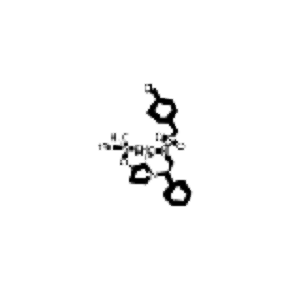 CN(C[C@@H](c1ccccc1)N1CC[C@H](O[Si](C)(C)C(C)(C)C)C1)S(=O)(=O)Cc1ccc(Cl)cc1